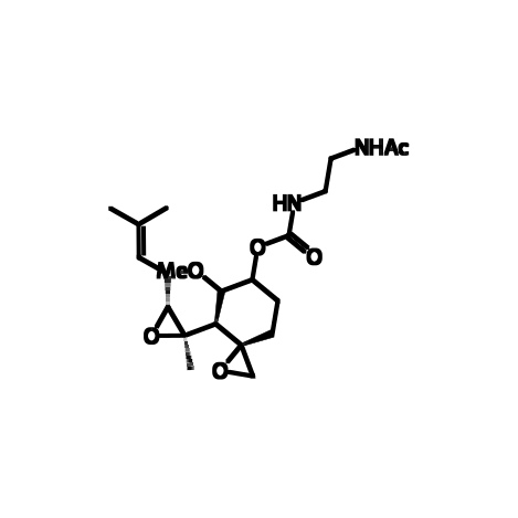 COC1C(OC(=O)NCCNC(C)=O)CC[C@]2(CO2)[C@H]1[C@@]1(C)O[C@@H]1CC=C(C)C